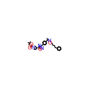 CC(=NOCCCCc1ccccc1)c1ccc(-c2noc([C@@H]3CCN(C(=O)OC(C)(C)C)C3)n2)cc1